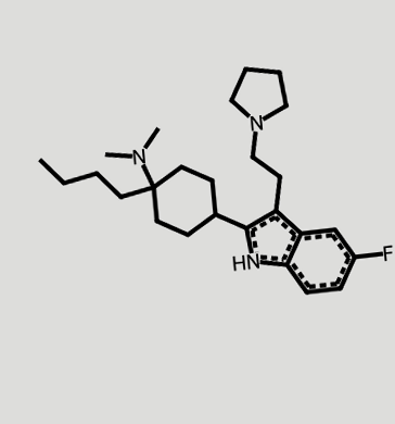 CCCCC1(N(C)C)CCC(c2[nH]c3ccc(F)cc3c2CCN2CCCC2)CC1